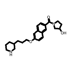 O=C(c1ccc2cc(OCCCC3CCCNC3)ccc2c1)N1CCC(O)C1